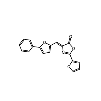 O=C1OC(c2ccco2)=N/C1=C\c1ccc(-c2ccccc2)o1